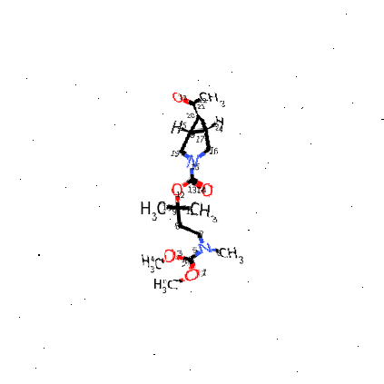 COC(OC)N(C)CCC(C)(C)OC(=O)N1C[C@@H]2[C@H](C1)[C@H]2C(C)=O